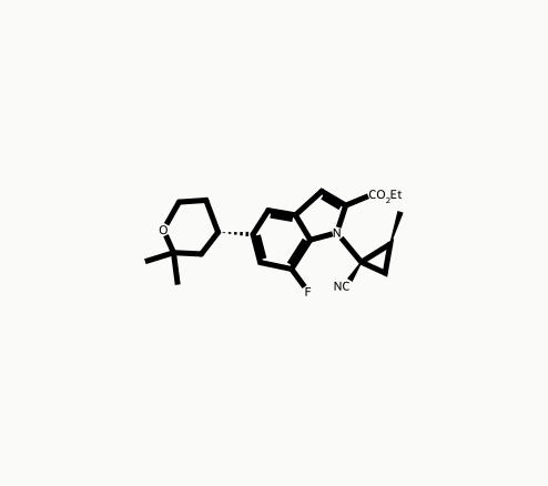 CCOC(=O)c1cc2cc([C@H]3CCOC(C)(C)C3)cc(F)c2n1[C@@]1(C#N)C[C@@H]1C